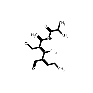 C=C(NC(=O)C(C)C)/C(CCl)=C(C)/C(C=O)=C\CC